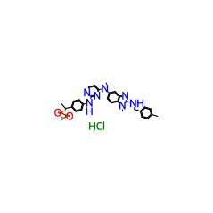 Cc1ccc(CNc2nc3cc(N(C)c4ccnc(Nc5ccc(C(C)S(C)(=O)=O)cc5)n4)ccc3n2C)cc1.Cl